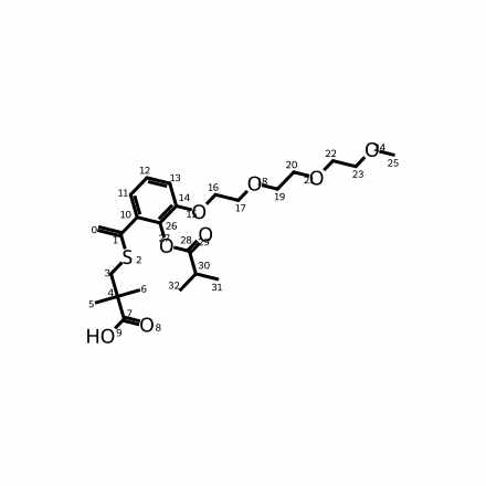 C=C(SCC(C)(C)C(=O)O)c1cccc(OCCOCCOCCOC)c1OC(=O)C(C)C